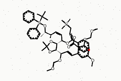 COCOc1cc(OC)cc(/C=C/C(OCOC)[C@@H]2OC(C)(C)O[C@@H]2C(/C=C\[C@@H](C)[C@H](C)O[Si](c2ccccc2)(c2ccccc2)C(C)(C)C)OC(=O)c2ccccc2)c1C(=O)OCC[Si](C)(C)C